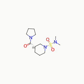 CN(C)S(=O)(=O)N1CCC[C@H](C(=O)N2CCCC2)C1